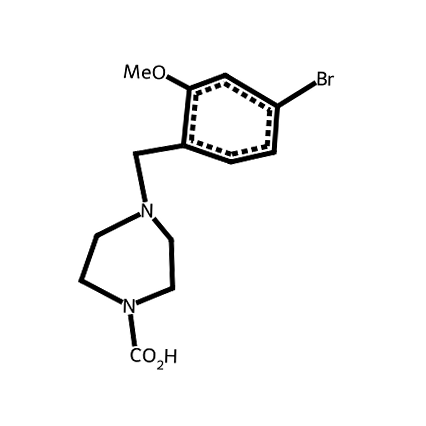 COc1cc(Br)ccc1CN1CCN(C(=O)O)CC1